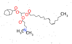 CCCCC/C=C\C/C=C\CCCCCCCC(=O)OCC(COC(=O)CCCN(C)C)COC(=O)C1CC2CCCC(C2)C1